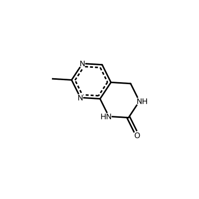 Cc1ncc2c(n1)NC(=O)NC2